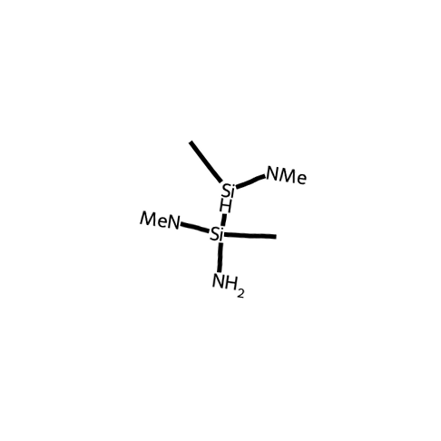 CN[SiH](C)[Si](C)(N)NC